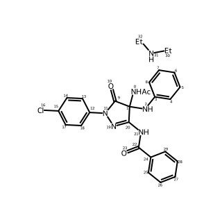 CC(=O)NC1(Nc2ccccc2)C(=O)N(c2ccc(Cl)cc2)N=C1NC(=O)c1ccccc1.CCNCC